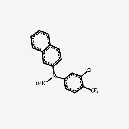 O=CN(c1ccc(C(F)(F)F)c(Cl)c1)c1ccc2ccccc2c1